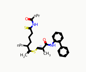 C=C(S/C=C(\C)C(=O)Nc1ccccc1-c1ccccc1)C(CCC)CCCC(=S)NC(=O)CCC